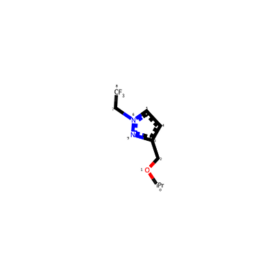 CC(C)OCc1ccn(CC(F)(F)F)n1